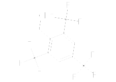 FC(F)(F)c1cc(C(F)(F)F)c(CCl)c(C(F)(F)F)c1